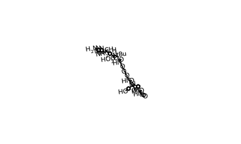 CN(Cc1cnc2nc(N)nc(N)c2n1)c1ccc(C(=O)N[C@](CCC(=O)NCCOCCOCCOCCNC(=O)Cn2nc3c(c2-c2ccc(O)cc2)C(=O)c2c(NC(=O)NN4CCOCC4)cccc2-3)(C(=O)O)C(C)(C)C)cc1